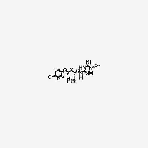 CC(C)NC(=N)NC(=N)NOCCCOc1ccc(Cl)cc1.Cl.Cl